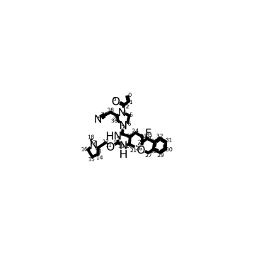 C=CC(=O)N1CCN(C2NC(OCC3CCCN3C)NC3C[C@@]4(CCC32)OCc2ccccc2C4F)CC1CC#N